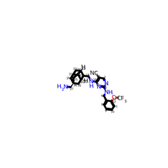 N#Cc1cnc(NCc2ccccc2OC(F)(F)F)nc1NCC1[C@@H]2CC3C[C@H]1C[C@@](CN)(C3)C2